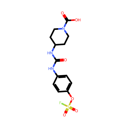 O=C(Nc1ccc(OS(=O)(=O)F)cc1)NC1CCN(C(=O)O)CC1